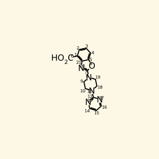 O=C(O)c1cccc2oc(N3CCN(c4ncccn4)CC3)nc12